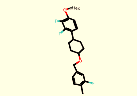 CCCCCCOc1ccc(C2CCC(OCc3ccc(C)c(F)c3)CC2)c(F)c1F